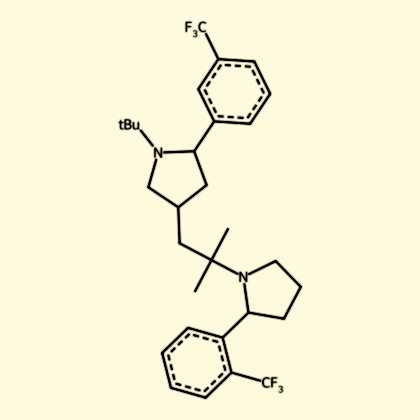 CC(C)(C)N1CC(CC(C)(C)N2CCCC2c2ccccc2C(F)(F)F)CC1c1cccc(C(F)(F)F)c1